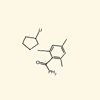 Cc1cc(C)c(C(=O)P)c(C)c1.[Li][CH]1CCCC1